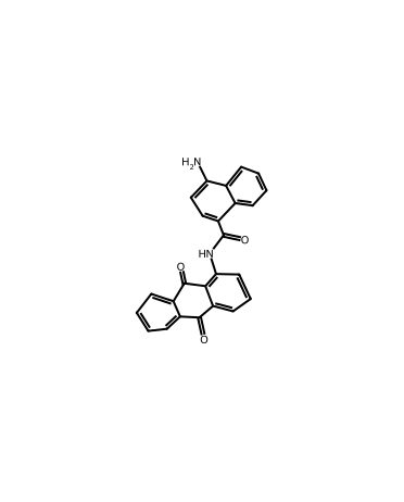 Nc1ccc(C(=O)Nc2cccc3c2C(=O)c2ccccc2C3=O)c2ccccc12